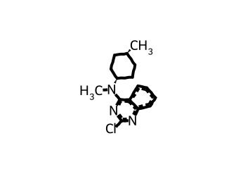 CN(c1nc(Cl)nc2ccccc12)[C@H]1CC[C@@H](C)CC1